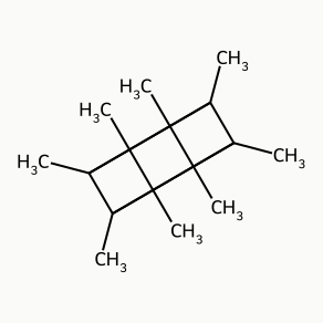 CC12C3(C)C4(C)C1(C)C1(C)C2(C)C3(C)C41C